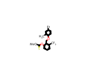 CCc1ccc(OCc2c(OC(=S)OC)cccc2C(F)(F)F)c(C)c1